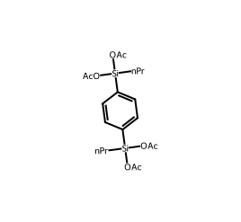 CCC[Si](OC(C)=O)(OC(C)=O)c1ccc([Si](CCC)(OC(C)=O)OC(C)=O)cc1